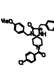 COc1ccc(CN2C(=O)[C@H](Cc3ccccc3)NC23CCN(C(=O)c2ccc(Cl)cc2)CC3)cc1